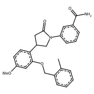 COc1ccc(C2CC(=O)N(c3cccc(C(N)=O)c3)C2)c(OCc2ccccc2C)c1